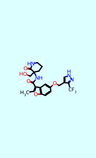 Cc1oc2ccc(OCc3c[nH]nc3C(F)(F)F)cc2c1C(=O)NC1(CO)CCCNC1=O